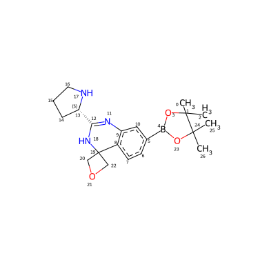 CC1(C)OB(c2ccc3c(c2)N=C([C@@H]2CCCN2)NC32COC2)OC1(C)C